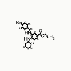 CCOC(=O)c1ccc(NC2CCCCC2)c(NCc2ccc(Br)cc2)c1